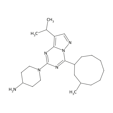 CC1CCCCCCC(c2nc(N3CCC(N)CC3)nc3c(C(C)C)cnn23)C1